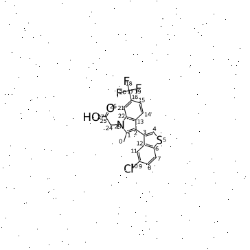 Cc1c(-c2csc3ccc(Cl)cc23)c2ccc(C(F)(F)F)cc2n1CC(=O)O